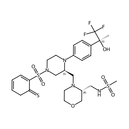 C[C@](O)(c1ccc(N2CCN(S(=O)(=O)C3=CC=CCC3=S)C[C@@H]2CN2CCOC[C@H]2CNS(C)(=O)=O)cc1)C(F)(F)F